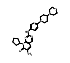 Nc1cc2cnc(Nc3ccc(N4CCC(N5CCOCC5)CC4)nc3)nc2n(C2CCCC2)c1=O